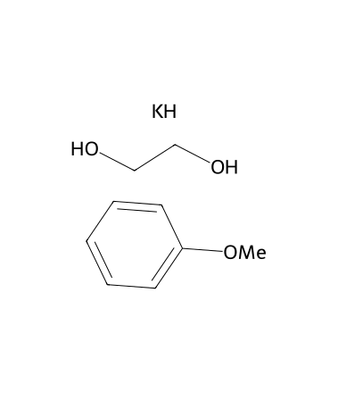 COc1ccccc1.OCCO.[KH]